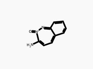 Nc1ccc2ccccc2n[n+]1=O